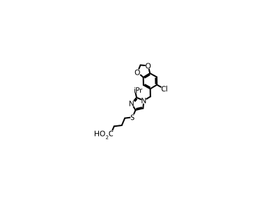 CC(C)c1nc(SCCCC(=O)O)cn1Cc1cc2c(cc1Cl)OCO2